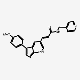 COc1ccc(-c2cnc3[nH]cc(/C=C/C(=O)NCc4ccncc4)cc2-3)cc1